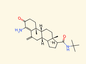 C=C1C[C@@H]2[C@@H](CC[C@]3(C)C(C(=O)NC(C)(C)C)CC[C@@H]23)[C@@]2(C)CCC(=O)C(N)=C12